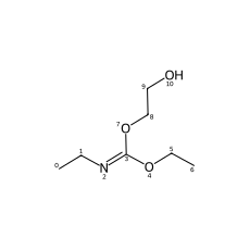 CCN=C(OCC)OCCO